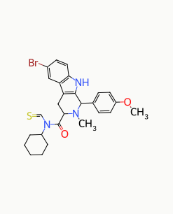 COc1ccc(C2c3[nH]c4ccc(Br)cc4c3CC(C(=O)N(C=S)C3CCCCC3)N2C)cc1